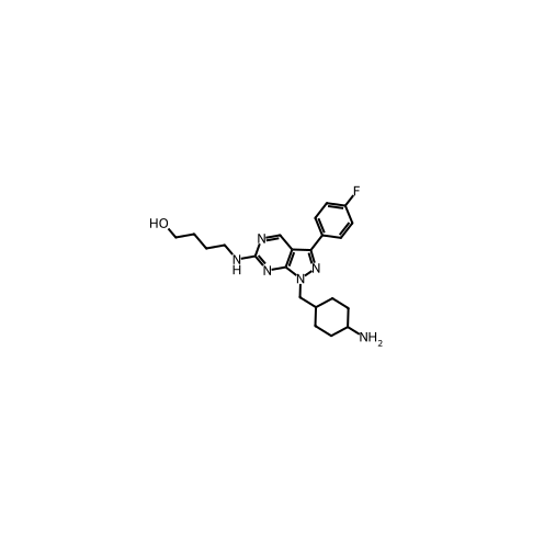 NC1CCC(Cn2nc(-c3ccc(F)cc3)c3cnc(NCCCCO)nc32)CC1